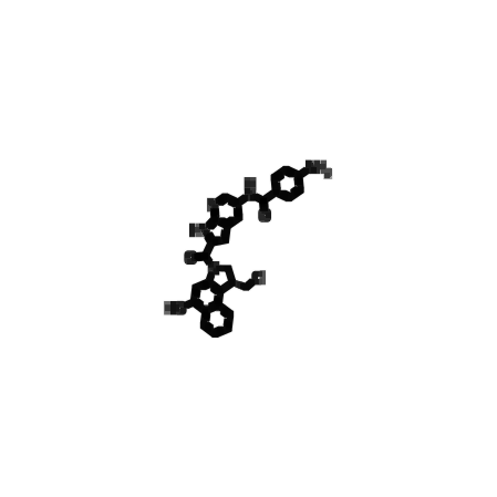 Nc1ccc(C(=O)Nc2cnc3[nH]c(C(=O)N4C[C@@H](CCl)c5c4cc(O)c4ccccc54)cc3c2)cc1